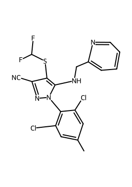 Cc1cc(Cl)c(-n2nc(C#N)c(SC(F)F)c2NCc2ccccn2)c(Cl)c1